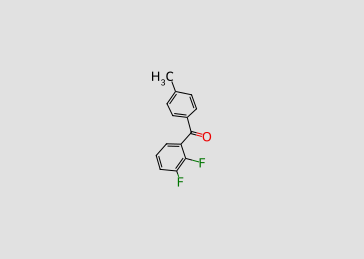 Cc1ccc(C(=O)c2cccc(F)c2F)cc1